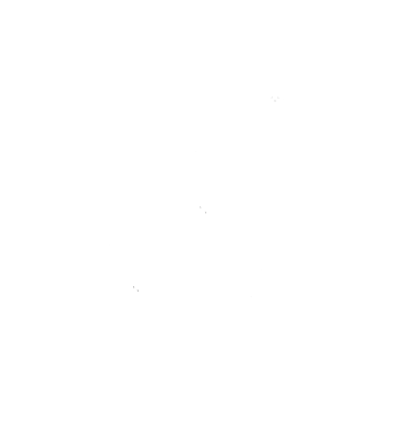 COc1ccc(N(Cc2cnco2)c2ccc(C(=O)O)cc2)cc1O